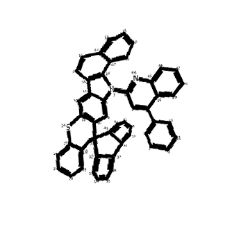 c1ccc(-c2cc(-n3c4cc5c(cc4c4ccc6ccccc6c43)Sc3ccccc3C53c4ccccc4-c4ccccc43)nc3ccccc23)cc1